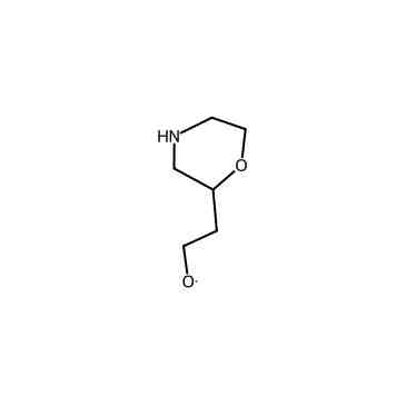 [O]CCC1CNCCO1